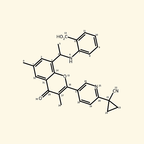 Cc1cc(C(C)Nc2ccccc2C(=O)O)c2oc(-c3ccc(C4(C#N)CC4)nc3)c(C)c(=O)c2c1